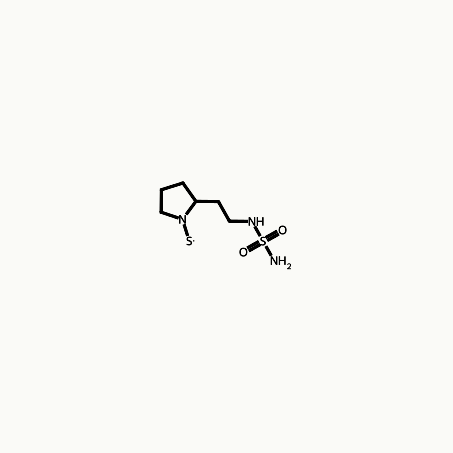 NS(=O)(=O)NCCC1CCCN1[S]